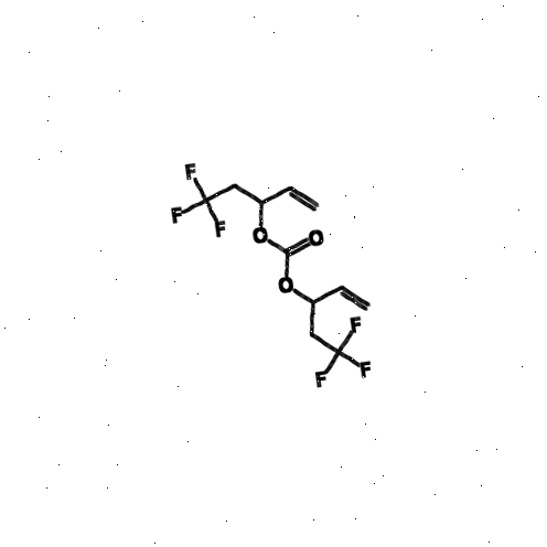 C=CC(CC(F)(F)F)OC(=O)OC(C=C)CC(F)(F)F